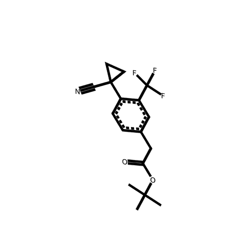 CC(C)(C)OC(=O)Cc1ccc(C2(C#N)CC2)c(C(F)(F)F)c1